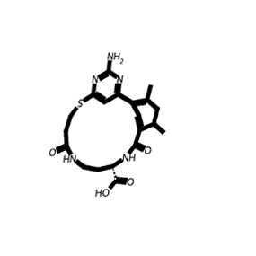 CC1=C2C=C(C(=O)N[C@H](C(=O)O)CCNC(=O)CCSc3cc2nc(N)n3)C(C)C1